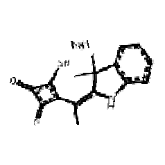 CC(=C1Nc2ccccc2C1(C)C)c1c(S)c(=O)c1=O.[NaH]